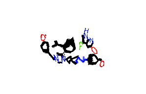 COc1ccc(CN2CCN(C3CC4(C3)CN(c3ccc(C=O)c(Oc5cnc6[nH]cc(F)c6c5)c3)C4)[C@@H](c3ccccc3C(C)C)C2)cc1